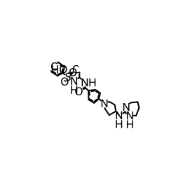 O=C(O)CC(NC(=O)c1ccc(N2CCC(NC3=NCCCCN3)CC2)cc1)NS(=O)(=O)c1ccccc1